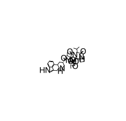 CCS(=O)(=O)O[C@@]12O[C@](NC(=O)[C@@H]3CC4c5cccc6[nH]cc(c56)C[C@H]4N(C)C3)(C(C)C)C(=O)N1[C@@H](C(C)C)C(=O)N1CCC[C@H]12